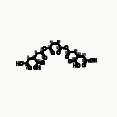 O=C(O)C=C(CC(=O)OC(=O)/C=C\C(=O)OC(=O)CC(=CC(=O)O)C(=O)O)C(=O)O